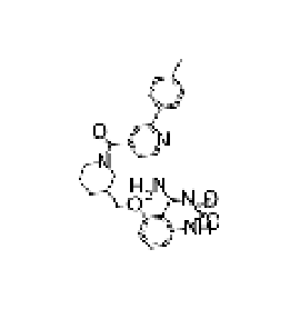 Cc1ccc(-c2cc(C(=O)N3CCC[C@H](COc4cccc5c4C(N)=NS(=O)(=O)N5)C3)ccn2)cc1